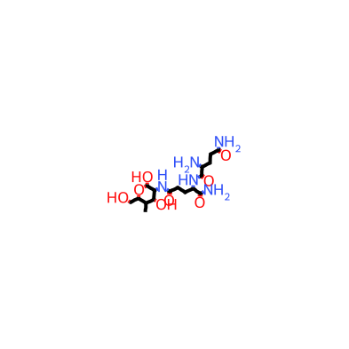 CC1C(CO)OC(O)C(NC(=O)CCC(NC(=O)C(N)CCC(N)=O)C(N)=O)C1O